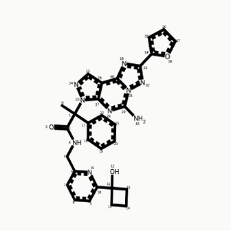 CC(C(=O)NCc1cccc(C2(O)CCC2)n1)(c1ccccc1)n1ncc2c1nc(N)n1nc(-c3ccco3)nc21